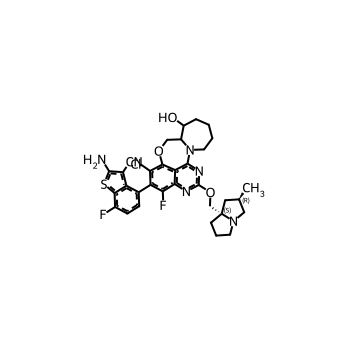 C[C@H]1CN2CCC[C@@]2(COc2nc3c4c(c(Cl)c(-c5ccc(F)c6sc(N)c(C#N)c56)c(F)c4n2)OCC2C(O)CCCCN32)C1